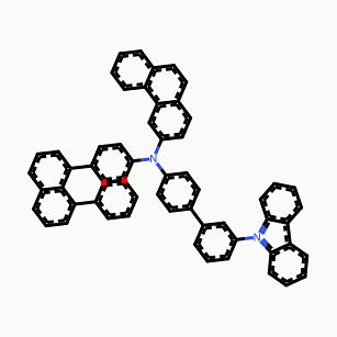 c1ccc(-c2cccc3cccc(-c4ccc(N(c5ccc(-c6cccc(-n7c8ccccc8c8ccccc87)c6)cc5)c5ccc6ccc7ccccc7c6c5)cc4)c23)cc1